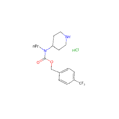 CCCN(C(=O)OCc1ccc(C(F)(F)F)cc1)C1CCNCC1.Cl